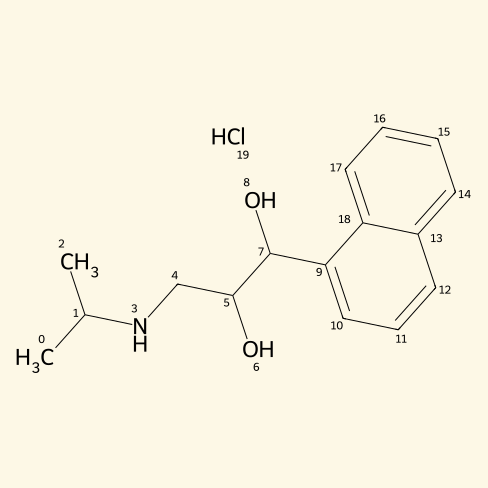 CC(C)NCC(O)C(O)c1cccc2ccccc12.Cl